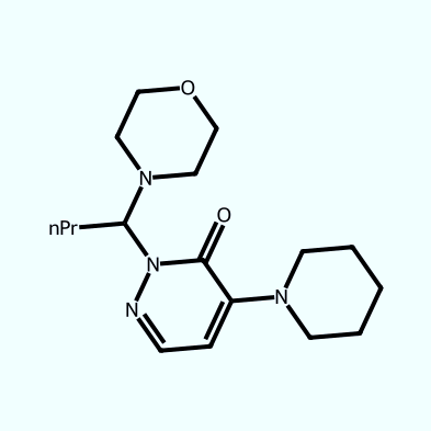 CCCC(N1CCOCC1)n1nccc(N2CCCCC2)c1=O